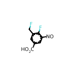 O=Nc1cc(C(=O)O)cc(CF)c1F